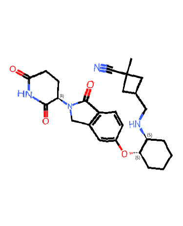 CC1(C#N)CC(CN[C@H]2CCCC[C@@H]2Oc2ccc3c(c2)CN([C@@H]2CCC(=O)NC2=O)C3=O)C1